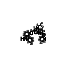 CC(C)CN(C[C@H](O)COc1cccc2[nH]c3ccccc3c12)c1ccc(Oc2ccccn2)cc1